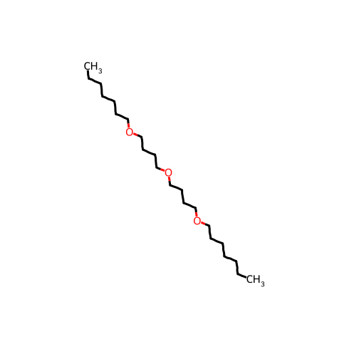 CCCCCCCOCCCCOCCCCOCCCCCCC